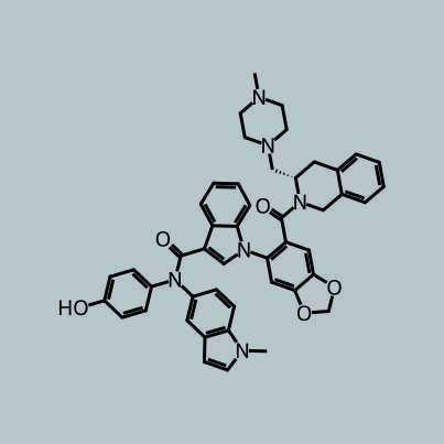 CN1CCN(C[C@@H]2Cc3ccccc3CN2C(=O)c2cc3c(cc2-n2cc(C(=O)N(c4ccc(O)cc4)c4ccc5c(ccn5C)c4)c4ccccc42)OCO3)CC1